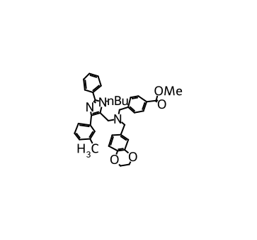 CCCCn1c(-c2ccccc2)nc(-c2cccc(C)c2)c1CN(Cc1ccc(C(=O)OC)cc1)Cc1ccc2c(c1)OCCO2